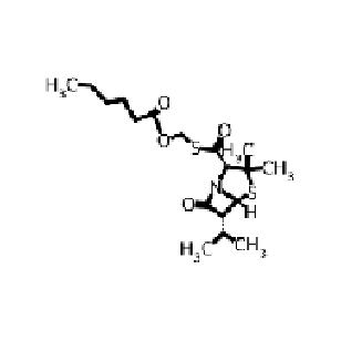 CCCCCC(=O)OCSC(=O)[C@@H]1N2C(=O)[C@@H](C(C)C)[C@H]2SC1(C)C